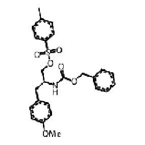 COc1ccc(C[C@@H](COS(=O)(=O)c2ccc(C)cc2)NC(=O)OCc2ccccc2)cc1